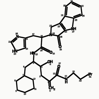 C=C(CC(O)C(CC1CCCCC1)NC(=O)C(Cc1c[nH]cn1)N1Cc2c([nH]c3ccccc23)C1=O)C(=O)NCCC(C)C